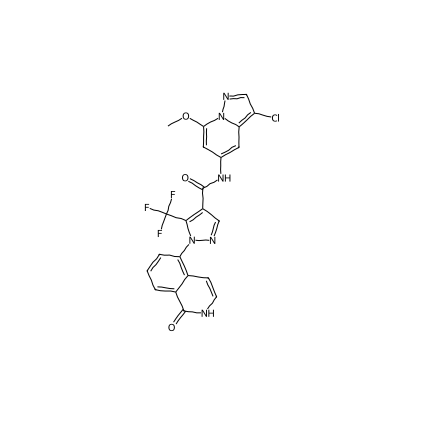 COc1cc(NC(=O)c2cnn(-c3cccc4c(=O)[nH]ccc34)c2C(F)(F)F)cc2c(Cl)cnn12